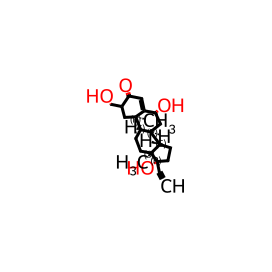 C#C[C@@]1(O)CC[C@H]2[C@@H]3CC(O)C4=CC(=O)C(CO)C[C@]4(C)[C@H]3CC[C@@]21C